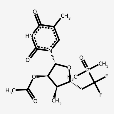 CC(=O)O[C@@H]1[C@H](C)[C@@H](CC(F)(F)P(C)(C)=O)O[C@H]1n1cc(C)c(=O)[nH]c1=O